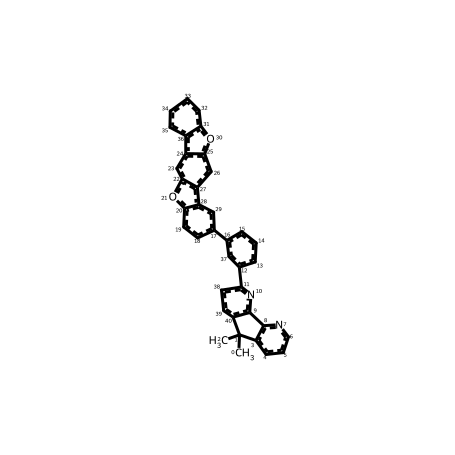 CC1(C)c2cccnc2-c2nc(-c3cccc(-c4ccc5oc6cc7c(cc6c5c4)oc4ccccc47)c3)ccc21